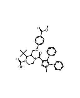 COC(=O)c1ccc(OCC2C(C(C)(C)C)N(C(=O)O)CCN2C(=O)c2cc(C)n(-c3ccccc3)c2-c2ccccc2)cc1